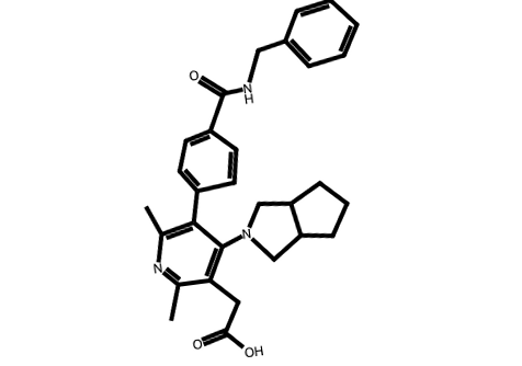 Cc1nc(C)c(-c2ccc(C(=O)NCc3ccccc3)cc2)c(N2CC3CCCC3C2)c1CC(=O)O